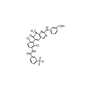 Cn1c(=O)c(-c2c(Cl)ccc(NC(=O)c3cccc(C(F)(F)F)c3)c2Cl)cc2cnc(Nc3cccc(CO)c3)nc21